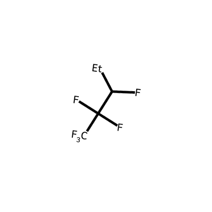 [CH2]CC(F)C(F)(F)C(F)(F)F